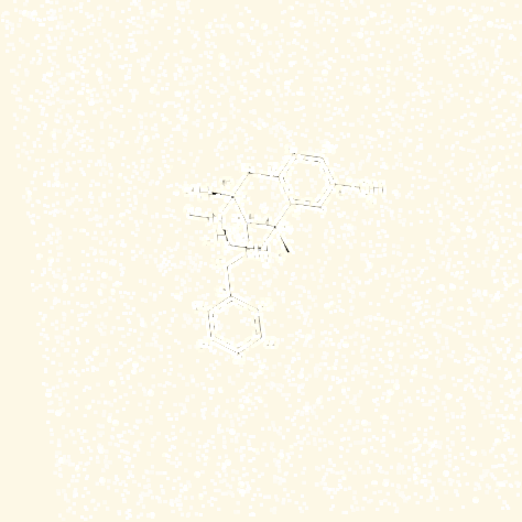 CN1CC[C@@]2(C)c3cc(O)ccc3C[C@@H]1[C@@H]2NCc1ccccc1